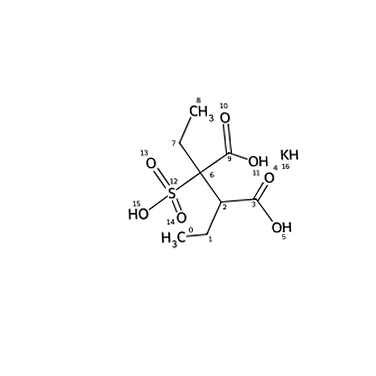 CCC(C(=O)O)C(CC)(C(=O)O)S(=O)(=O)O.[KH]